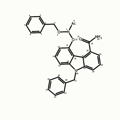 CC(=O)N(OCc1ccccc1)Oc1cccc2c1c1c(C(N)=O)cccc1n2Cc1ccccc1